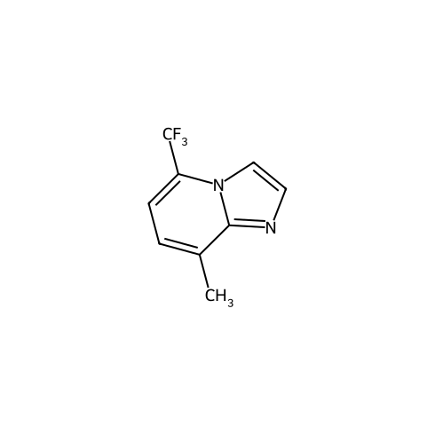 Cc1ccc(C(F)(F)F)n2ccnc12